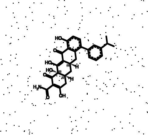 CC(C)c1cccc(-c2ccc(O)c3c2C[C@H]2C[C@H]4CC(O)=C(C(N)=O)C(=O)[C@@]4(O)C(O)=C2C3=O)c1